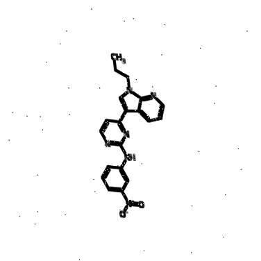 CCCn1cc(-c2ccnc(Nc3cccc([N+](=O)[O-])c3)n2)c2cccnc21